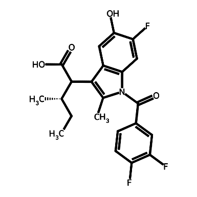 CC[C@H](C)C(C(=O)O)c1c(C)n(C(=O)c2ccc(F)c(F)c2)c2cc(F)c(O)cc12